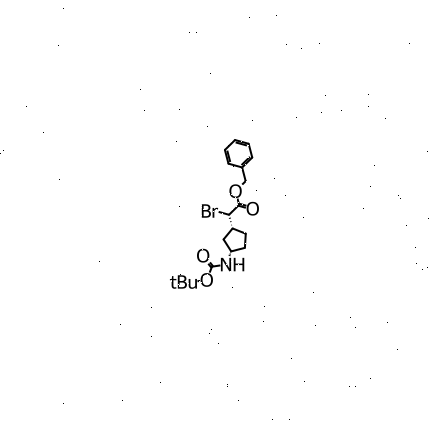 CC(C)(C)OC(=O)N[C@H]1CC[C@@H](C(Br)C(=O)OCc2ccccc2)C1